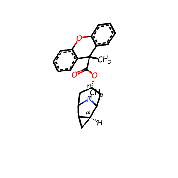 CN1C2C[C@H](OC(=O)C3(C)c4ccccc4Oc4ccccc43)CC1[C@H]1CC21